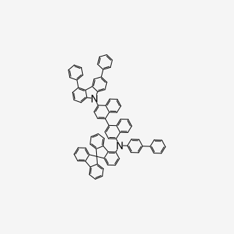 c1ccc(-c2ccc(N(c3cccc4c3-c3ccccc3C43c4ccccc4-c4ccccc43)c3ccc(-c4ccc(-n5c6ccc(-c7ccccc7)cc6c6c(-c7ccccc7)cccc65)c5ccccc45)c4ccccc34)cc2)cc1